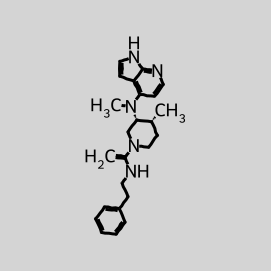 C=C(NCCc1ccccc1)N1CC[C@@H](C)[C@@H](N(C)c2ccnc3[nH]ccc23)C1